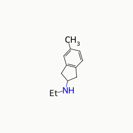 CCNC1Cc2ccc(C)cc2C1